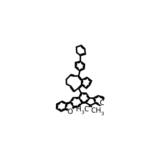 CC1(C)c2ccccc2-c2cc(C3=c4\cccc\c4=C(c4ccc(C5=CC=CCC5)cc4)\C=C\CC\C=C\3)c3cc4c(cc3c21)oc1ccccc14